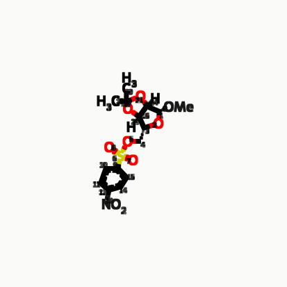 CO[C@@H]1O[C@H](COS(=O)(=O)c2ccc([N+](=O)[O-])cc2)[C@H]2OC(C)(C)O[C@@H]12